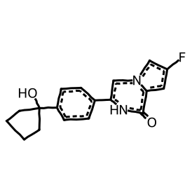 O=c1[nH]c(-c2ccc(C3(O)CCCC3)cc2)cn2cc(F)cc12